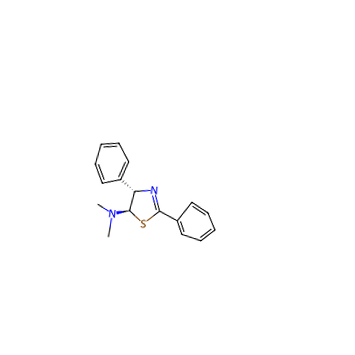 CN(C)[C@@H]1SC(c2ccccc2)=N[C@H]1c1ccccc1